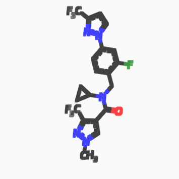 Cn1cc(C(=O)N(Cc2ccc(-n3ccc(C(F)(F)F)n3)cc2F)C2CC2)c(C(F)(F)F)n1